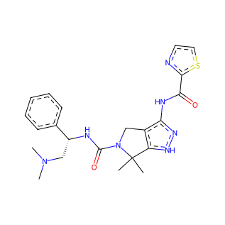 CN(C)C[C@@H](NC(=O)N1Cc2c(NC(=O)c3nccs3)n[nH]c2C1(C)C)c1ccccc1